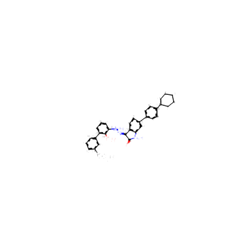 O=C1Nc2cc(-c3ccc(C4CCCCC4)cc3)ccc2C1=NNc1cccc(-c2cccc(C(=O)O)c2)c1O